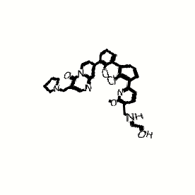 COc1nc(-c2cccc(-c3cccc(-c4ccn5c(=O)c(CN6CCCC6)cnc5c4)c3Cl)c2Cl)ccc1CNCCO